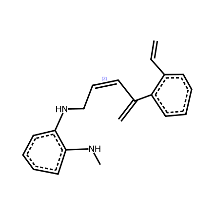 C=Cc1ccccc1C(=C)/C=C\CNc1ccccc1NC